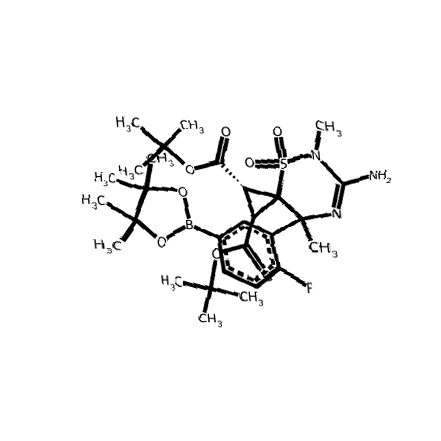 CN1C(N)=NC(C)(c2cc(B3OC(C)(C)C(C)(C)O3)ccc2F)C2(C(C(=O)OC(C)(C)C)[C@@H]2C(=O)OC(C)(C)C)S1(=O)=O